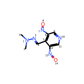 CN(C)/N=C/c1c(N=O)cncc1N=O